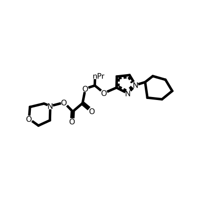 CCCC(OC(=O)C(=O)ON1CCOCC1)Oc1ccn(C2CCCCC2)n1